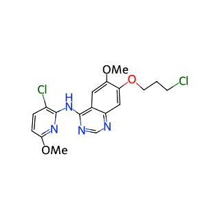 COc1ccc(Cl)c(Nc2ncnc3cc(OCCCCl)c(OC)cc23)n1